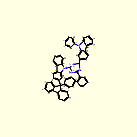 c1ccc(C2=NC(c3ccc4c5ccccc5n(-c5ccccc5)c4c3)NC(n3c4ccccc4c4ccc(C5(c6ccccc6)c6ccccc6-c6ccccc65)cc43)N2)cc1